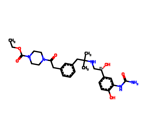 CCOC(=O)N1CCN(C(=O)Cc2cccc(CC(C)(C)NC[C@H](O)c3ccc(O)c(NC(N)=O)c3)c2)CC1